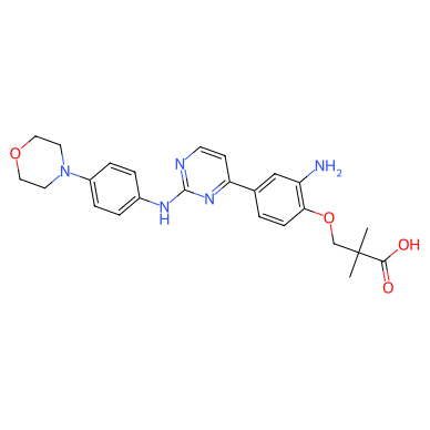 CC(C)(COc1ccc(-c2ccnc(Nc3ccc(N4CCOCC4)cc3)n2)cc1N)C(=O)O